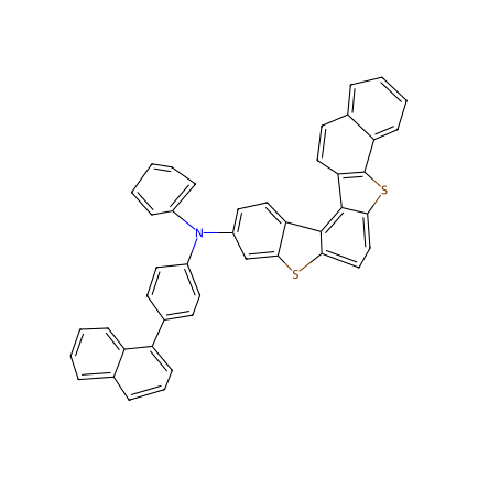 c1ccc(N(c2ccc(-c3cccc4ccccc34)cc2)c2ccc3c(c2)sc2ccc4sc5c6ccccc6ccc5c4c23)cc1